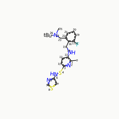 Cc1nc(SNc2cscn2)ccc1NCc1c(F)cccc1CN(C)C(C)(C)C